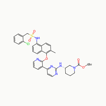 Cc1ccc2c(NS(=O)(=O)Cc3ccccc3Cl)cccc2c1Oc1ncccc1-c1ccnc(N[C@H]2CCCN(C(=O)OC(C)(C)C)C2)n1